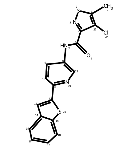 Cc1snc(C(=O)Nc2ccc(-c3cc4ccccc4s3)nc2)c1Cl